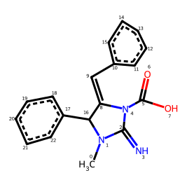 CN1C(=N)N(C(=O)O)C(=Cc2ccccc2)C1c1ccccc1